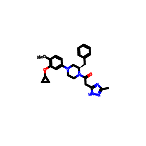 COc1ccc(N2CCN(C(=O)Cc3nc(C)n[nH]3)[C@@H](Cc3ccccc3)C2)cc1OC1CC1